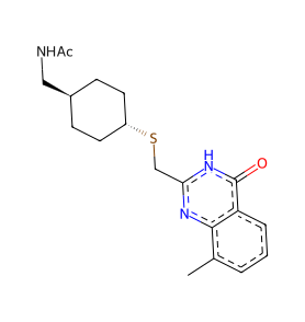 CC(=O)NC[C@H]1CC[C@H](SCc2nc3c(C)cccc3c(=O)[nH]2)CC1